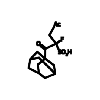 CC(=O)CC(F)(C(=O)C12CC3CC(CC(C3)C1)C2)S(=O)(=O)O